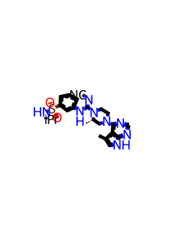 Cc1c[nH]c2ncnc(N3CCN(/C(=N/C#N)Nc4cccc(S(=O)(=O)NC(C)C)c4)[C@@H](C)C3)c12